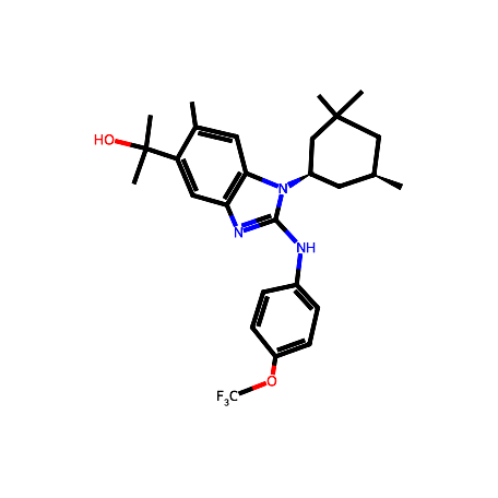 Cc1cc2c(cc1C(C)(C)O)nc(Nc1ccc(OC(F)(F)F)cc1)n2[C@@H]1C[C@H](C)CC(C)(C)C1